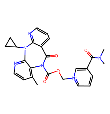 Cc1ccnc2c1N(C(=O)OC[n+]1cccc(C(=O)N(C)C)c1)C(=O)c1cccnc1N2C1CC1